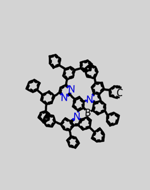 c1ccc(-c2cc(-c3ccccc3)cc(-c3cc(-c4cc(-c5ccccc5)cc(-c5ccccc5)c4)nc(-c4cc5c6c(c4)-n4c7cc(-c8ccccc8)cc(-c8ccccc8)c7c7cc(-c8ccccc8)cc(c74)B6c4cc(-c6ccccc6)cc6c7c(-c8ccccc8)cc(-c8ccccc8)cc7n-5c46)n3)c2)cc1